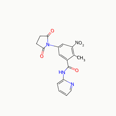 Cc1c(C(=O)Nc2ccccn2)cc(N2C(=O)CCC2=O)cc1[N+](=O)[O-]